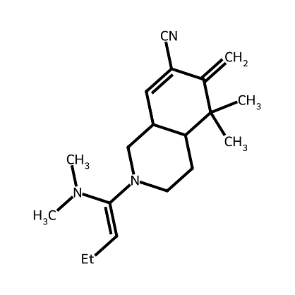 C=C1C(C#N)=CC2CN(/C(=C/CC)N(C)C)CCC2C1(C)C